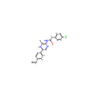 COc1ccc(-c2cnc(NC(=O)Cc3ccc(Cl)cc3)c(C)n2)cc1